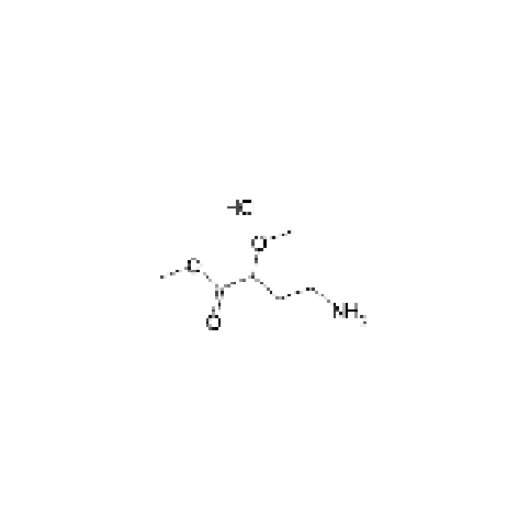 COC(=O)C(CCN)OC.Cl